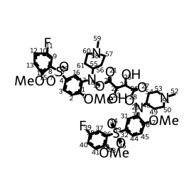 COc1ccc(S(=O)(=O)c2cc(F)ccc2OC)cc1N(OC(=O)C(O)C(O)C(=O)ON(c1cc(S(=O)(=O)c2cc(F)ccc2OC)ccc1OC)C1CCN(C)CC1)C1CCN(C)CC1